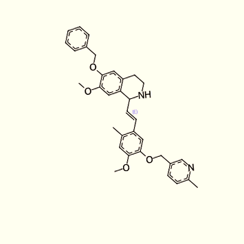 COc1cc(C)c(/C=C/C2NCCc3cc(OCc4ccccc4)c(OC)cc32)cc1OCc1ccc(C)nc1